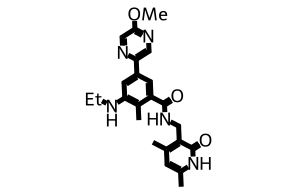 CCNc1cc(-c2cnc(OC)cn2)cc(C(=O)NCc2c(C)cc(C)[nH]c2=O)c1C